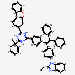 CCc1nc2ccccc2n1-c1ccc(C(=C(c2ccccc2)c2ccccc2)c2ccc(-c3nc(-c4ccc5c(c4)oc4ccccc45)nc(C4(C)C=CC=CC4)n3)cc2)cc1